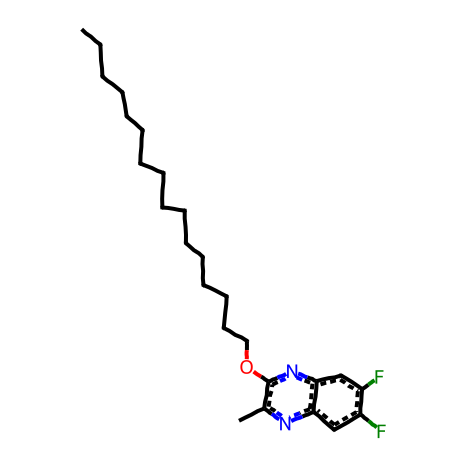 CCCCCCCCCCCCCCCCOc1nc2cc(F)c(F)cc2nc1C